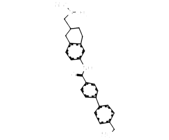 CN(C)CC1CCc2cc(NC(=O)c3ccc(-c4ccc(CO)cc4)cc3)ccc2C1